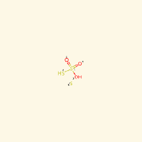 O=S(=O)(O)S.[S]